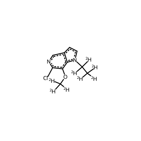 [2H]C([2H])([2H])Oc1c(Cl)ncc2ccn(C([2H])([2H])C([2H])([2H])[2H])c12